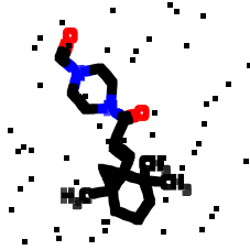 CC1(C)CCCC2(C)CC12/C=C/C(=O)N1CCN(C=O)CC1